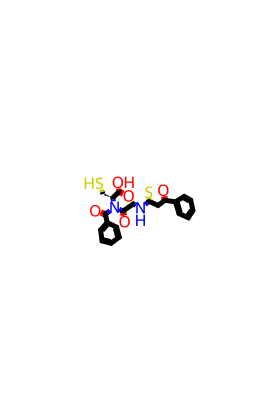 O=C(CC(=S)NCC(=O)N(C(=O)c1ccccc1)[C@H](CS)C(=O)O)c1ccccc1